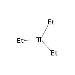 C[CH2][Tl]([CH2]C)[CH2]C